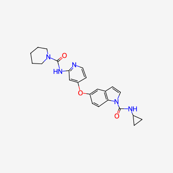 O=C(Nc1cc(Oc2ccc3c(ccn3C(=O)NC3CC3)c2)ccn1)N1CCCCC1